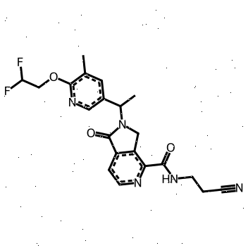 Cc1cc(C(C)N2Cc3c(ccnc3C(=O)NCCC#N)C2=O)cnc1OCC(F)F